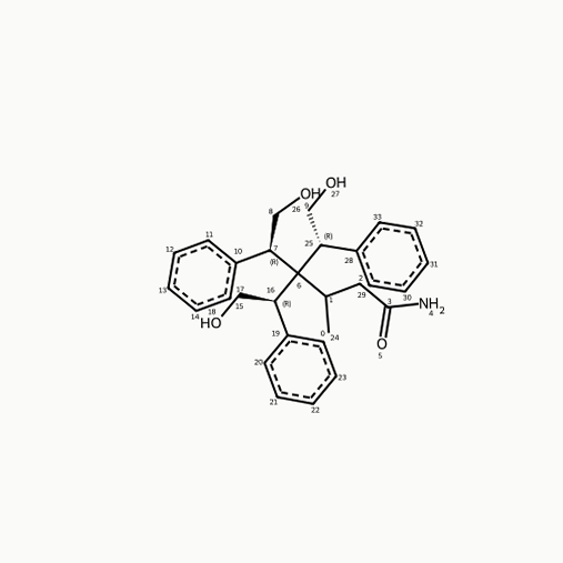 CC(CC(N)=O)C([C@H](CO)c1ccccc1)([C@H](CO)c1ccccc1)[C@H](CO)c1ccccc1